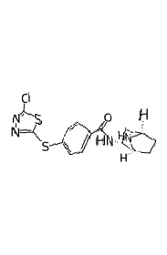 O=C(N[C@@H]1C[C@H]2CC[C@@H]1N2)c1ccc(Sc2nnc(Cl)s2)cc1